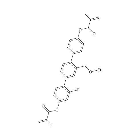 C=C(C)C(=O)Oc1ccc(-c2ccc(-c3ccc(OC(=O)C(=C)C)cc3F)cc2COCC)cc1